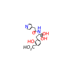 O=C(Cc1ccncc1)NC(Cc1cccc(C(=O)O)c1O)B(O)O